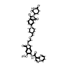 CC(C)Oc1cc2c(cc1NC(=O)c1cnn3cccnc13)CN(CCOCC1CCN(c3ccc4c(c3)C(=O)N(C3CCC(=O)NC3=O)C4=O)CC1)C2=O